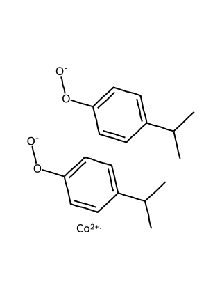 CC(C)c1ccc(O[O-])cc1.CC(C)c1ccc(O[O-])cc1.[Co+2]